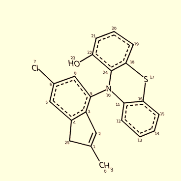 CC1=Cc2c(cc(Cl)cc2N2c3ccccc3Sc3cccc(O)c32)C1